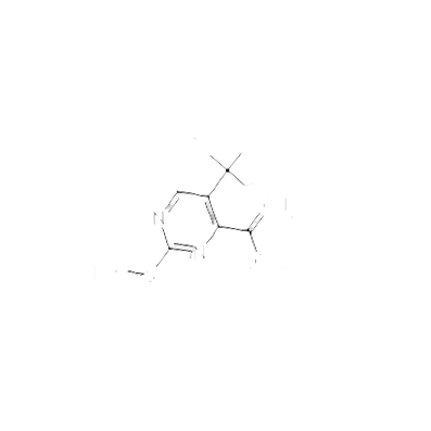 C=C(C)c1nc(SC)ncc1C(F)(F)F